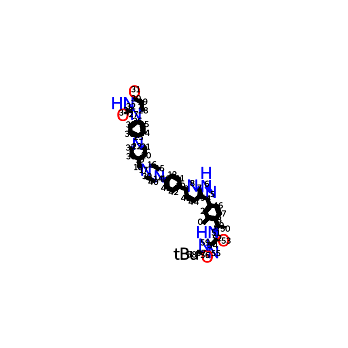 Cc1cc(-c2n[nH]c3nc(-c4ccc(N5CCN(CC6CCN(c7ccc(N8CCC(=O)NC8=O)cc7)CC6)CC5)cc4)ccc23)ccc1[C@@H](C)NC(=O)c1noc(C(C)(C)C)n1